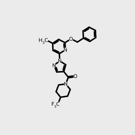 Cc1cc(OCc2ccccc2)nc(-n2cc(C(=O)N3CCC(C(F)(F)F)CC3)cn2)c1